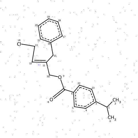 CC(C)c1ccc(C(=O)OC/C(=C/CCl)Cc2ccccc2)cc1